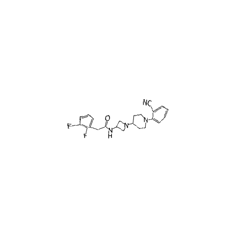 N#Cc1ccccc1N1CCC(N2CC(NC(=O)Cc3cccc(F)c3F)C2)CC1